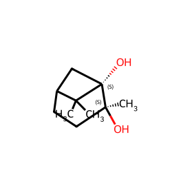 CC1(C)C2CC[C@](C)(O)[C@]1(O)C2